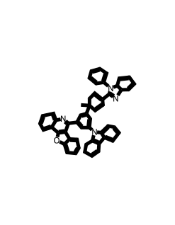 CC1(c2cc(-c3nc4ccccc4c4oc5ccccc5c34)cc(-n3c4c(c5ccccc53)C=CCC4)c2)C=CC(C2=NC3C=CC=CC3N2c2ccccc2)=CC1